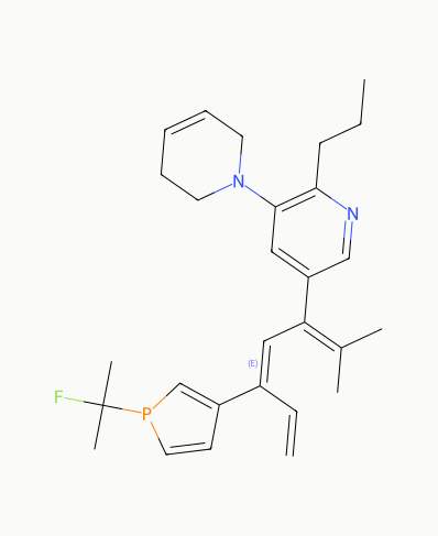 C=C/C(=C\C(=C(C)C)c1cnc(CCC)c(N2CC=CCC2)c1)c1ccp(C(C)(C)F)c1